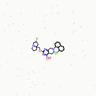 Oc1nc(OC[C@@]23CCCN2C[C@H](F)C3)nc2c1CCN(c1cccc3cccc(Cl)c13)C2